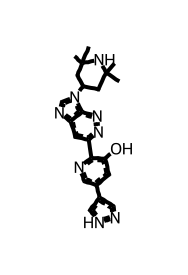 CC1(C)CC(n2cnc3cc(-c4ncc(-c5cn[nH]c5)cc4O)nnc32)CC(C)(C)N1